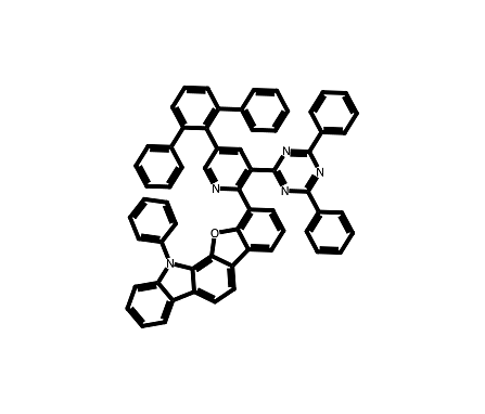 c1ccc(-c2nc(-c3ccccc3)nc(-c3cc(-c4c(-c5ccccc5)cccc4-c4ccccc4)cnc3-c3cccc4c3oc3c4ccc4c5ccccc5n(-c5ccccc5)c43)n2)cc1